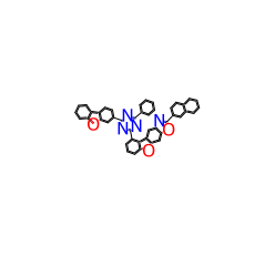 c1ccc(-c2nc(-c3ccc4c(c3)oc3ccccc34)nc(-c3cccc4oc5cc6oc(-c7ccc8ccccc8c7)nc6cc5c34)n2)cc1